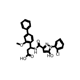 COc1cc(-c2ccccc2)ccc1C(CC(=O)O)NC(=O)c1cc(O)n(-c2ccccc2Cl)n1